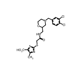 Cc1nc(SCC(=O)NCC2CN(Cc3ccc(Cl)c(Cl)c3)CCO2)sc1C(=O)O